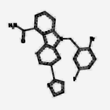 NC(=O)c1cccc2c1c1[c]cc(-c3cccs3)cc1n2Cc1cc(F)ccc1Br